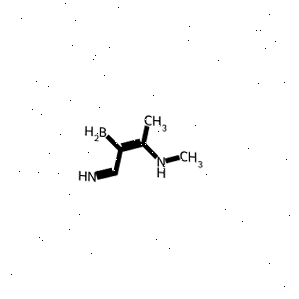 B/C(C=N)=C(\C)NC